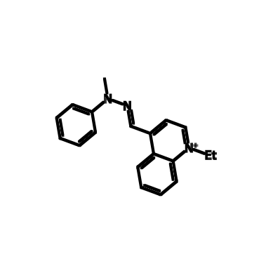 CC[n+]1ccc(C=NN(C)c2ccccc2)c2ccccc21